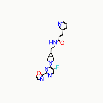 O=C(/C=C/c1cccnc1)NCCC1C2CN(c3nc(-c4ncco4)ncc3F)CC12